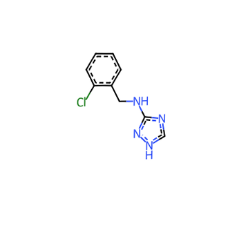 Clc1ccccc1CNc1nc[nH]n1